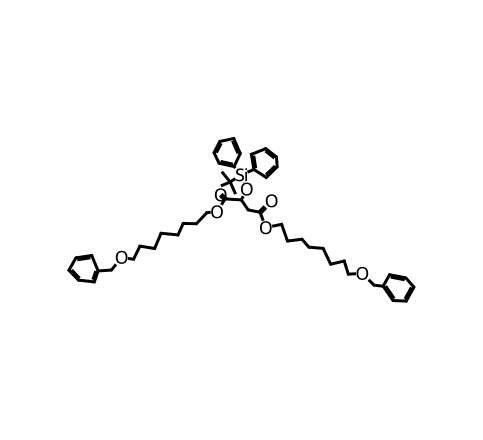 CC(C)(C)[Si](OC(CC(=O)OCCCCCCCCOCc1ccccc1)C(=O)OCCCCCCCCOCc1ccccc1)(c1ccccc1)c1ccccc1